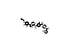 C#CCOc1ccc(-c2cnc3c(Nc4ccc(C(=O)N5CCN(C(=O)C6CCCN6)CC5)c(C)c4)nccn23)c(F)c1F